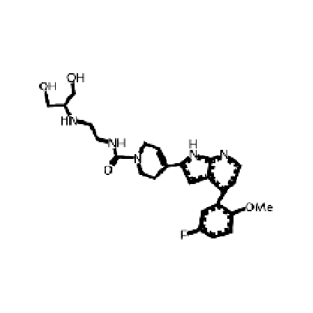 COc1ccc(F)cc1-c1ccnc2[nH]c(C3=CCN(C(=O)NCCNC(CO)CO)CC3)cc12